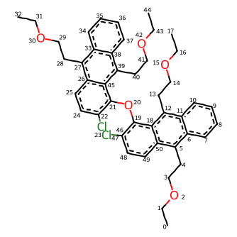 CCOCCc1c2ccccc2c(CCOCC)c2c(Oc3c(Cl)ccc4c(CCOCC)c5ccccc5c(CCOCC)c34)c(Cl)ccc12